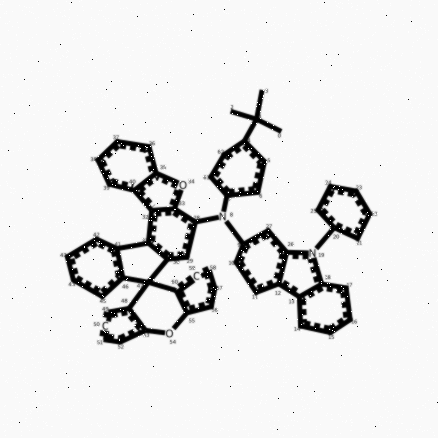 CC(C)(C)c1ccc(N(c2ccc3c4ccccc4n(-c4ccccc4)c3c2)c2cc3c(c4c2oc2ccccc24)-c2ccccc2C32c3ccccc3Oc3ccccc32)cc1